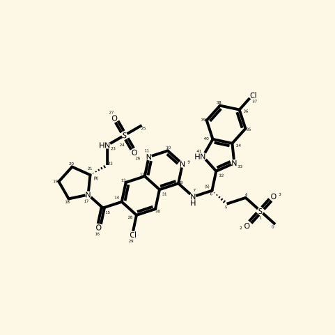 CS(=O)(=O)CC[C@H](Nc1ncnc2cc(C(=O)N3CCC[C@@H]3CNS(C)(=O)=O)c(Cl)cc12)c1nc2cc(Cl)ccc2[nH]1